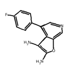 Nc1oc2cncc(-c3ccc(F)cc3)c2c1N